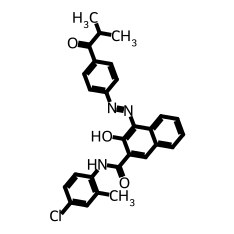 Cc1cc(Cl)ccc1NC(=O)c1cc2ccccc2c(/N=N/c2ccc(C(=O)C(C)C)cc2)c1O